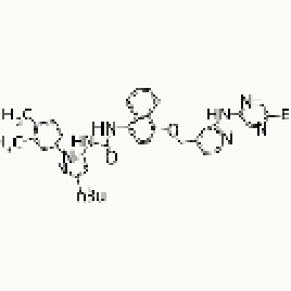 CCCCc1cc(NC(=O)Nc2ccc(OCc3ccnc(Nc4cnc(CC)cn4)c3)c3ccccc23)n(-c2ccc(C)c(C)c2)n1